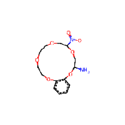 NC1COC([N+](=O)[O-])COCCOCCOc2ccccc2O1